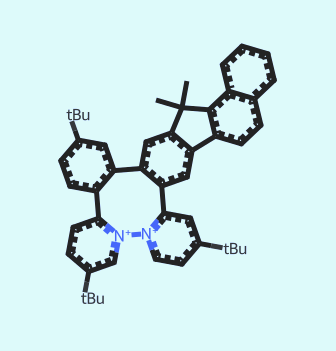 CC(C)(C)c1ccc2c(c1)-c1cc3c(cc1-c1cc(C(C)(C)C)cc[n+]1-[n+]1cc(C(C)(C)C)ccc1-2)-c1ccc2ccccc2c1C3(C)C